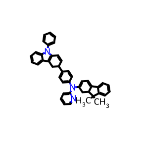 CC1(C)c2ccccc2C2=CC=C(N(c3ccc(C4C=Cc5c(c6ccccc6n5-c5ccccc5)C4)cc3)c3ccccn3)CC21